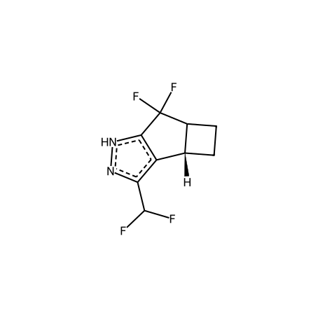 FC(F)c1n[nH]c2c1[C@H]1CCC1C2(F)F